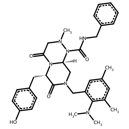 Cc1cc(C)c(N(C)C)c(CN2C[C@H]3N(C(=O)CN(C)N3C(=O)NCc3ccccc3)[C@@H](Cc3ccc(O)cc3)C2=O)c1